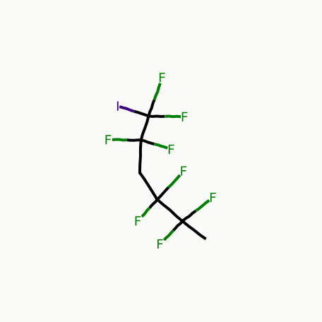 CC(F)(F)C(F)(F)CC(F)(F)C(F)(F)I